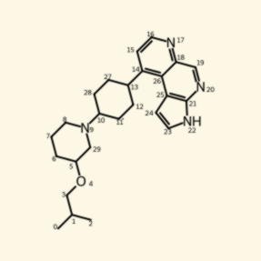 CC(C)COC1CCCN(C2[CH]CC(c3ccnc4cnc5[nH]ccc5c34)CC2)C1